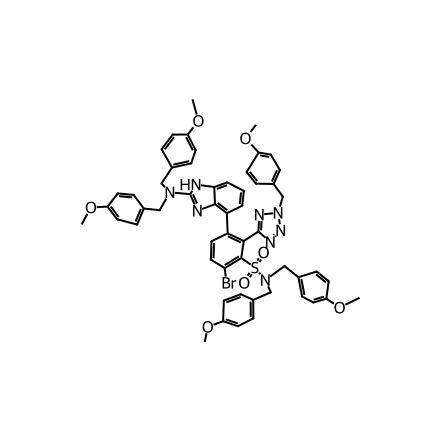 COc1ccc(CN(Cc2ccc(OC)cc2)c2nc3c(-c4ccc(Br)c(S(=O)(=O)N(Cc5ccc(OC)cc5)Cc5ccc(OC)cc5)c4-c4nnn(Cc5ccc(OC)cc5)n4)cccc3[nH]2)cc1